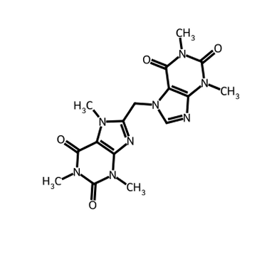 Cn1c(=O)c2c(ncn2Cc2nc3c(c(=O)n(C)c(=O)n3C)n2C)n(C)c1=O